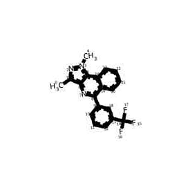 Cc1nn(C)c2c1nc(-c1cccc(C(F)(F)F)c1)c1ccccc12